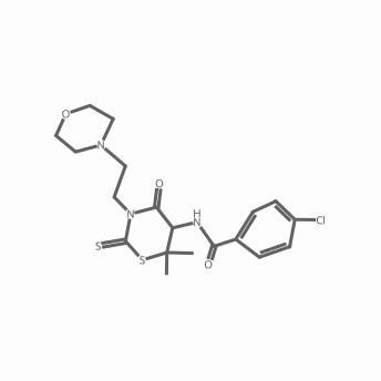 CC1(C)SC(=S)N(CCN2CCOCC2)C(=O)C1NC(=O)c1ccc(Cl)cc1